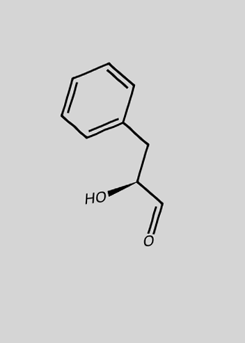 O=C[C@@H](O)Cc1ccccc1